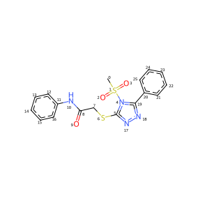 CS(=O)(=O)n1c(SCC(=O)Nc2ccccc2)nnc1-c1ccccc1